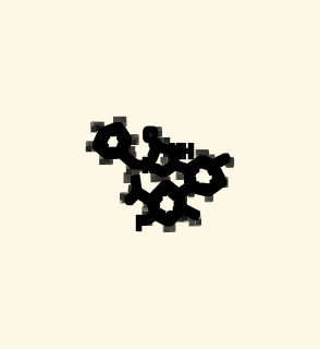 Cc1ccc(-c2cc(C(C)C)c(F)cc2C)c(C2CN(Cc3ccccc3)C(=O)N2)c1